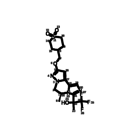 C[C@H]1Cn2nc(OCC3CCS(=O)(=O)CC3)cc2-c2cnc(C(C)(O)C(F)(F)F)n21